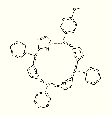 COc1ccc(-c2c3nc(c(-c4ccccc4)c4ccc(s4)c(-c4ccccc4)c4nc(c(-c5ccccc5)c5ccc2s5)C=C4)C=C3)cc1